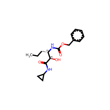 CCC[C@H](NC(=O)OCc1ccccc1)[C@@H](O)C(=O)NC1CC1